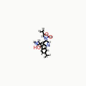 CC(C)c1ccc([C@](O)(c2cncc(N3CC(C(C)C)OC3=O)c2)C2(C)CN(C)C2)cc1